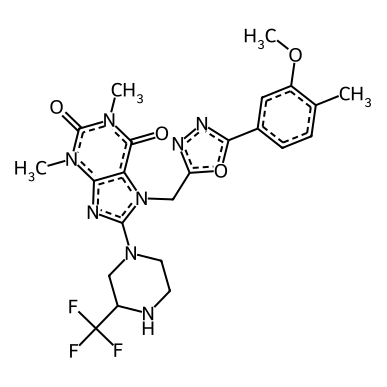 COc1cc(-c2nnc(Cn3c(N4CCNC(C(F)(F)F)C4)nc4c3c(=O)n(C)c(=O)n4C)o2)ccc1C